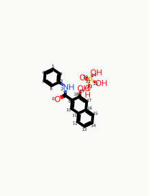 O=C(Nc1ccccc1)c1cc2ccccc2cc1O.O=P(O)(O)O